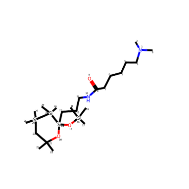 CN(C)CCCCCC(=O)NCCC[Si]1(O[Si](C)(C)C)OC(C)(C)C[Si](C)(C)[Si]1(C)C